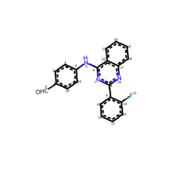 O=Cc1ccc(Nc2nc(-c3ccccc3F)nc3ccccc23)cc1